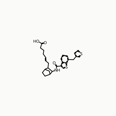 O=C(O)CCC/C=C/CC1C2CCC(C2)C1NC(=O)c1csc2c(Cc3ccsc3)cccc12